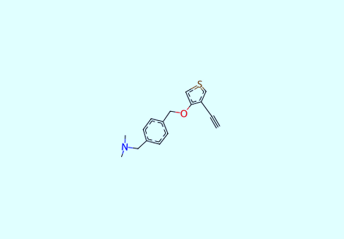 C#Cc1cscc1OCc1ccc(CN(C)C)cc1